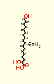 O=C(O)C(O)CCCCCCCCCCCCCCCCO.[CaH2]